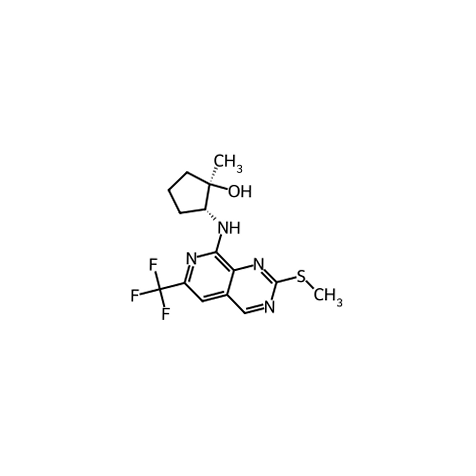 CSc1ncc2cc(C(F)(F)F)nc(N[C@@H]3CCC[C@@]3(C)O)c2n1